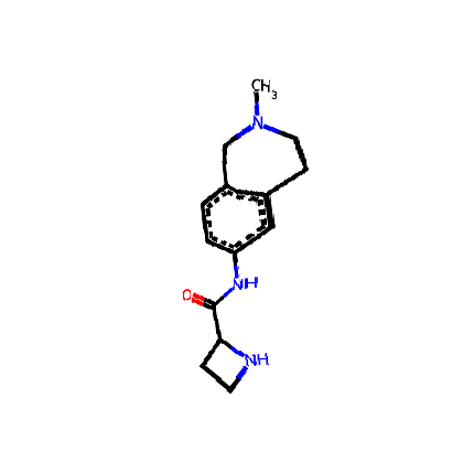 CN1CCc2cc(NC(=O)C3CCN3)ccc2C1